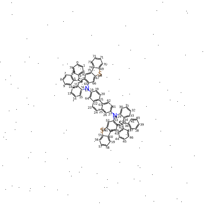 c1ccc([Si]2(c3ccccc3)c3ccccc3N(c3ccc4c(ccc5cc(N6c7ccccc7[Si](c7ccccc7)(c7ccccc7)c7cc8c(cc76)sc6ccccc68)ccc54)c3)c3cc4sc5ccccc5c4cc32)cc1